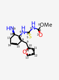 COC(=O)NC(=S)NC1=C(Cc2ccco2)C=CCC1=N